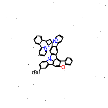 CC(C)(C)c1ccc2c(c1)c1cc3oc4ccccc4c3c3c4cc5c(cc4n2c13)C1(CC2c3ccccc3-c3cccc[n+]3C21)[n+]1ccccc1-5